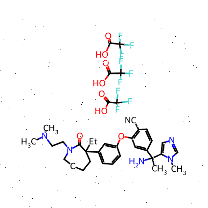 CCC1(c2cccc(Oc3cc(C(C)(N)c4cncn4C)ccc3C#N)c2)CCCCN(CCN(C)C)C1=O.O=C(O)C(F)(F)F.O=C(O)C(F)(F)F.O=C(O)C(F)(F)F